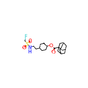 O=C(OC1CCC(CCNS(=O)(=O)CF)CC1)C12CC3CC(CC(C3)C1)C2